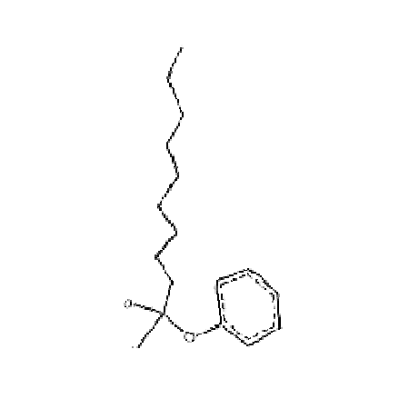 [CH2]C([O])(CCCCCCCCC)Oc1ccccc1